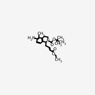 CCOC(=O)/C=C/CC1c2ccc(N)c(C)c2CCN1C(=O)OC(C)(C)C